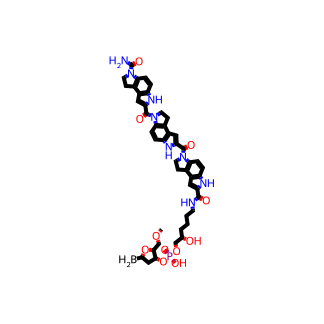 BC1CC(OP(=O)(O)OCC(O)CCCCNC(=O)c2cc3c4c(ccc3[nH]2)N(C(=O)c2cc3c5c(ccc3[nH]2)N(C(=O)c2cc3c6c(ccc3[nH]2)N(C(N)=O)CC6)CC5)CC4)C(COC)O1